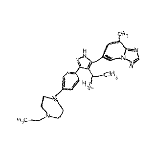 CCN1CCN(c2ccc(-c3n[nH]c(-c4cc(C)c5ncnn5c4)c3C(C)C)cc2)CC1